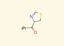 CC(C)C(=O)C1CSC=N1